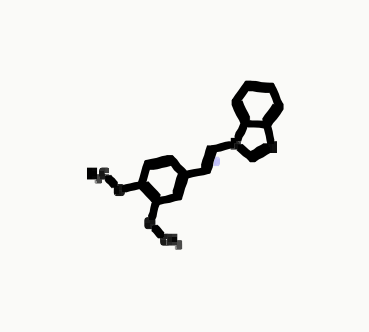 COc1ccc(/C=C/n2cnc3ccccc32)cc1OC